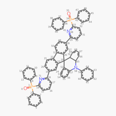 O=P(c1ccccc1)(c1ccccc1)c1cccc(-c2ccc3c(c2)C2(c4cc(-c5cccc(P(=O)(c6ccccc6)c6ccccc6)n5)ccc4-3)c3ccccc3N(c3ccccc3)C3C=CC=CC32)n1